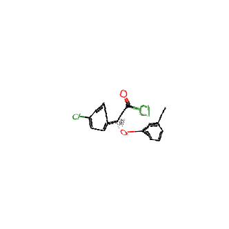 Cc1cccc(O[C@@H](C(=O)Cl)c2ccc(Cl)cc2)c1